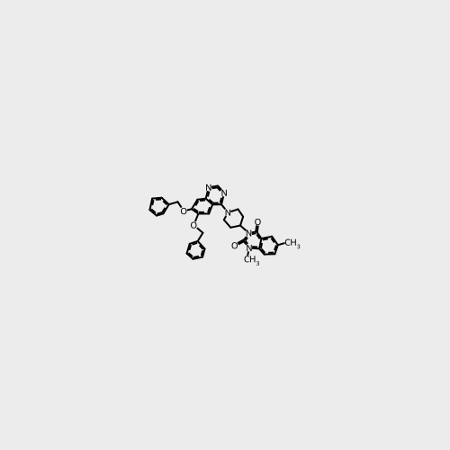 Cc1ccc2c(c1)c(=O)n(C1CCN(c3ncnc4cc(OCc5ccccc5)c(OCc5ccccc5)cc34)CC1)c(=O)n2C